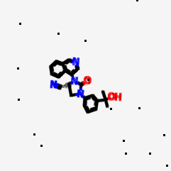 CC(C)(O)c1cccc(N2C[C@H](C#N)N(c3cncc4ccccc34)C2=O)c1